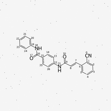 N#Cc1ccccc1C=CC(=O)Nc1ccc(C(=O)Nc2ccccc2)cc1